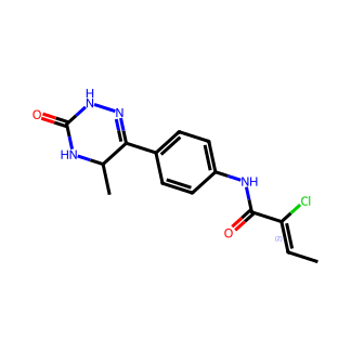 C/C=C(\Cl)C(=O)Nc1ccc(C2=NNC(=O)NC2C)cc1